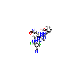 N#Cc1cc(Cl)c(Nc2nc3cnc(NC[C@@H]4CCCC[C@@H]4O)nc3n2[C@H]2CC[C@@H](C(N)=O)CC2)c(Cl)c1